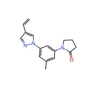 C=Cc1cnn(-c2cc(C)cc(N3CCCC3=O)c2)c1